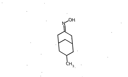 CC1CC2CC(=NO)CC(C1)C2